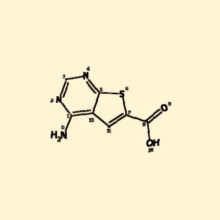 Nc1ncnc2sc(C(=O)O)cc12